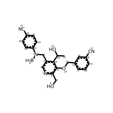 BN(Cc1cnc(CO)c(OCc2cccc(C#N)c2)c1C(C)O)c1ccc(C#N)cc1